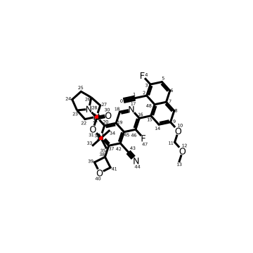 C#Cc1c(F)ccc2cc(OCOC)cc(-c3ncc4c(N5CC6CCC(C5)N6C(=O)OC(C)(C)C)nc(C5COC5)c(C#N)c4c3F)c12